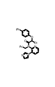 CCC(Oc1ccc(C(C)C)cc1)C(=O)N(CC(C)=O)c1ncccc1-n1ccnc1